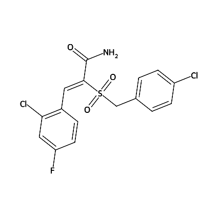 NC(=O)C(=Cc1ccc(F)cc1Cl)S(=O)(=O)Cc1ccc(Cl)cc1